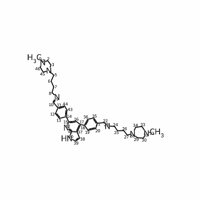 CN1CCN(CCCCN=Cc2ccc(-c3cc(-c4ccc(C=NCCCCN5CCN(C)CC5)cc4)c4cc[nH]c4n3)cc2)CC1